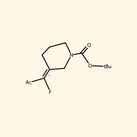 CC(=O)/C(F)=C1\CCCN(C(=O)OC(C)(C)C)C1